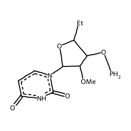 CCC1OC(n2ccc(=O)[nH]c2=O)C(OC)C1OP